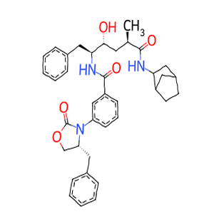 C[C@H](C[C@@H](O)[C@H](Cc1ccccc1)NC(=O)c1cccc(N2C(=O)OC[C@H]2Cc2ccccc2)c1)C(=O)NC1CC2CCC1C2